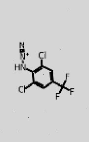 N#[N+]Nc1c(Cl)cc(C(F)(F)F)cc1Cl